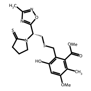 COC(=O)c1c(C)c(OC)cc(O)c1CSC[C@@H](c1nc(C)no1)N1CCCC1=S